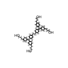 OCCCc1ccc(N(c2ccc(CCCO)cc2)c2ccc(CCc3ccc(N(c4ccc(CCCO)cc4)c4ccc(CCCO)cc4)cc3)cc2)cc1